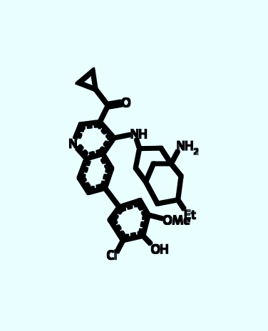 CCC1CC2CC(Nc3c(C(=O)C4CC4)cnc4ccc(-c5cc(Cl)c(O)c(OC)c5)cc34)CC(N)(C1)C2